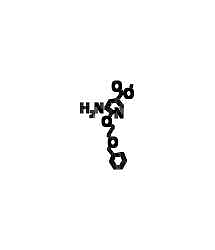 COC(=O)c1cnc(OCCOCc2ccccc2)c(N)c1